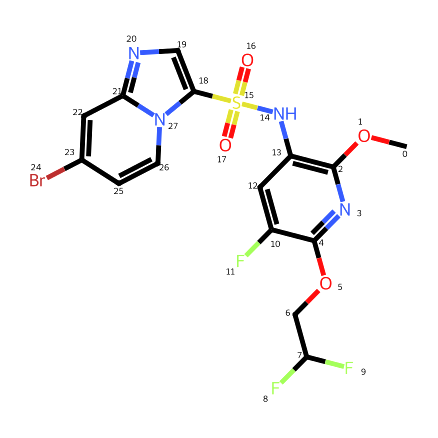 COc1nc(OCC(F)F)c(F)cc1NS(=O)(=O)c1cnc2cc(Br)ccn12